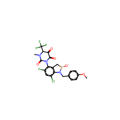 COc1ccc(CN2c3c(Cl)cc(F)c(N4C(=O)C(=O)C(C(F)(F)F)N(C)C4=O)c3C[S+]2[O-])cc1